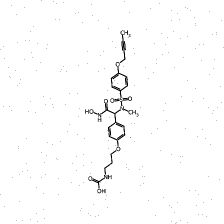 CC#CCOc1ccc(S(=O)(=O)N(C)C(C(=O)NO)c2ccc(OCCCNC(=O)O)cc2)cc1